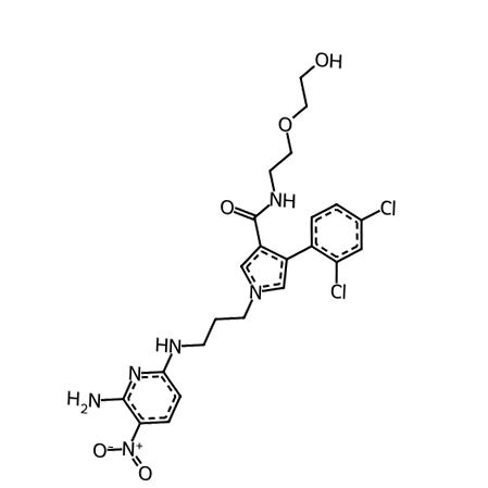 Nc1nc(NCCCn2cc(C(=O)NCCOCCO)c(-c3ccc(Cl)cc3Cl)c2)ccc1[N+](=O)[O-]